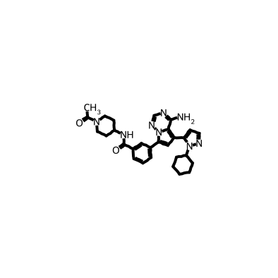 CC(=O)N1CCC(NC(=O)c2cccc(-c3cc(-c4ccnn4C4CCCCC4)c4c(N)ncnn34)c2)CC1